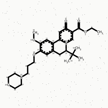 CCOC(=O)c1cn2c(cc1=O)-c1cc(OC)c(OCCCN3CCOCC3)cc1CC2C(C)(C)C